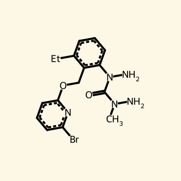 CCc1cccc(N(N)C(=O)N(C)N)c1COc1cccc(Br)n1